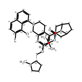 CN1CCC[C@H]1COc1nc2c(c(N3CC4CCC(C3)N4C(=O)OC(C)(C)C)n1)CCN(c1cccc3ccc(F)c(Cl)c13)C2